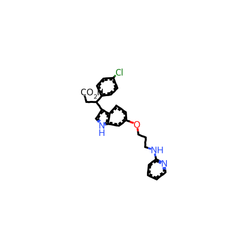 O=C(O)CC(c1ccc(Cl)cc1)c1c[nH]c2cc(OCCCNc3ccccn3)ccc12